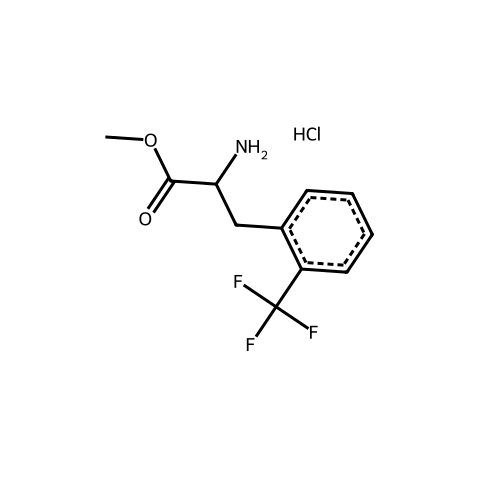 COC(=O)C(N)Cc1ccccc1C(F)(F)F.Cl